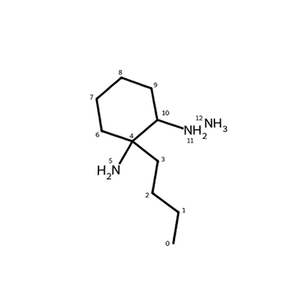 CCCCC1(N)CCCCC1N.N